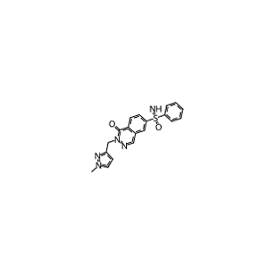 Cn1ccc(Cn2ncc3cc(S(=N)(=O)c4ccccc4)ccc3c2=O)n1